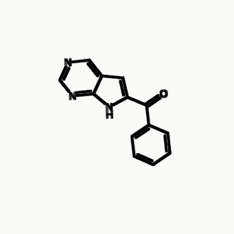 O=C(c1ccccc1)c1cc2cncnc2[nH]1